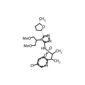 COCC(COC)n1c(NS(=O)(=O)C(C)C(C)c2ccc(Cl)cn2)nnc1[C@@H]1CC[C@H](C)O1